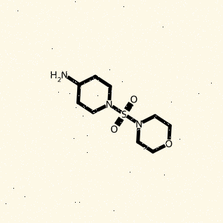 NC1CCN(S(=O)(=O)N2CCOCC2)CC1